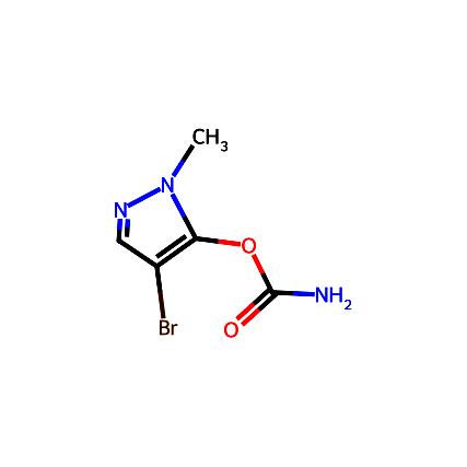 Cn1ncc(Br)c1OC(N)=O